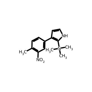 Cc1ccc(-c2cc[nH]c2[Si](C)(C)C)cc1[N+](=O)[O-]